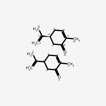 C=C(C)C1CC=C(C)C(=O)C1.C=C(C)[C@H]1CC=C(C)C(=O)C1